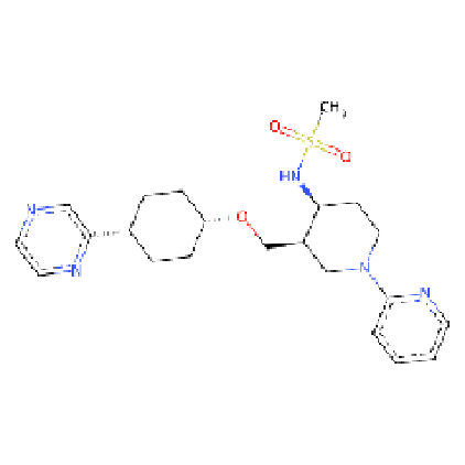 CS(=O)(=O)N[C@H]1CCN(c2ccccn2)C[C@H]1CO[C@H]1CC[C@@H](c2cnccn2)CC1